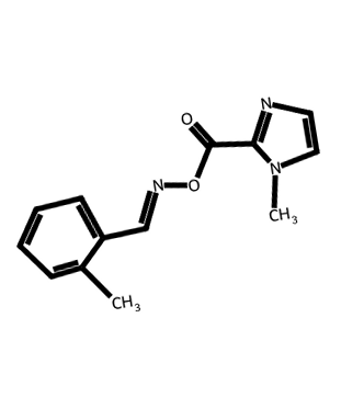 Cc1ccccc1C=NOC(=O)c1nccn1C